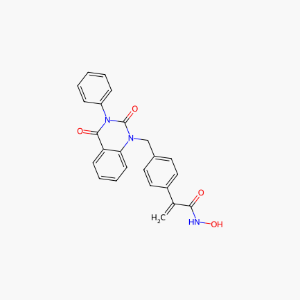 C=C(C(=O)NO)c1ccc(Cn2c(=O)n(-c3ccccc3)c(=O)c3ccccc32)cc1